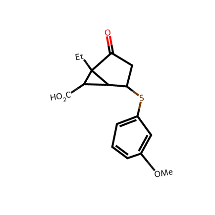 CCC12C(=O)CC(Sc3cccc(OC)c3)C1C2C(=O)O